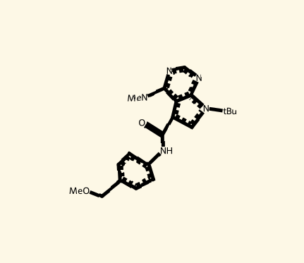 CNc1ncnc2c1c(C(=O)Nc1ccc(COC)cc1)cn2C(C)(C)C